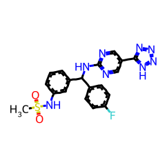 CS(=O)(=O)Nc1cccc(C(Nc2ncc(-c3nnn[nH]3)cn2)c2ccc(F)cc2)c1